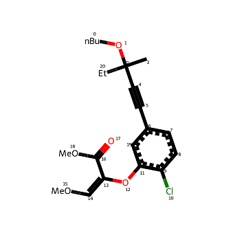 CCCCOC(C)(C#Cc1ccc(Cl)c(O/C(=C/OC)C(=O)OC)c1)CC